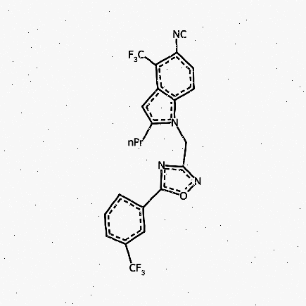 [C-]#[N+]c1ccc2c(cc(CCC)n2Cc2noc(-c3cccc(C(F)(F)F)c3)n2)c1C(F)(F)F